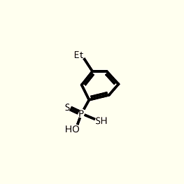 CCc1cccc(P(O)(=S)S)c1